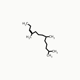 [CH2]CC=C(C)CCCC(C)CCCC(C)C